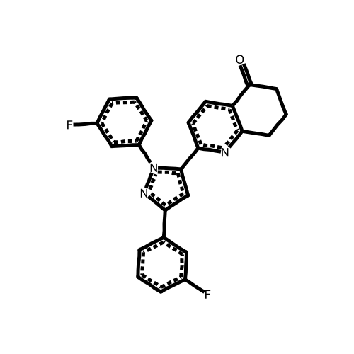 O=C1CCCc2nc(-c3cc(-c4cccc(F)c4)nn3-c3cccc(F)c3)ccc21